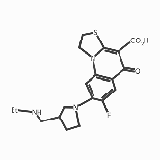 CCNCC1CCN(c2cc3c(cc2F)c(=O)c(C(=O)O)c2n3CCS2)C1